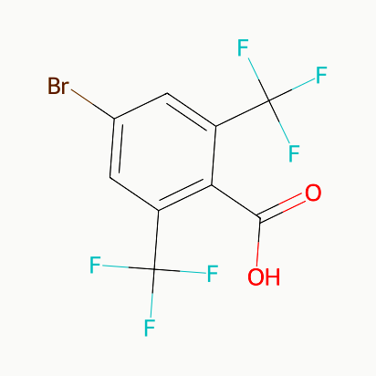 O=C(O)c1c(C(F)(F)F)cc(Br)cc1C(F)(F)F